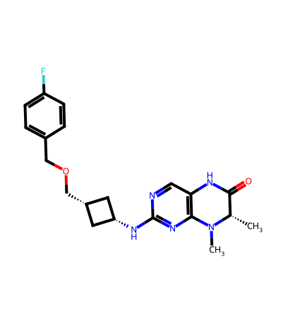 C[C@H]1C(=O)Nc2cnc(N[C@H]3C[C@@H](COCc4ccc(F)cc4)C3)nc2N1C